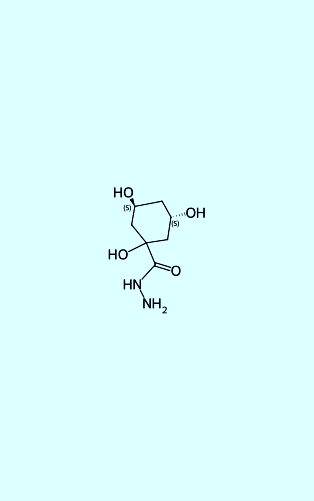 NNC(=O)C1(O)C[C@@H](O)C[C@H](O)C1